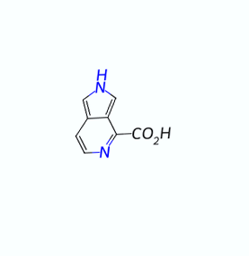 O=C(O)c1nccc2c[nH]cc12